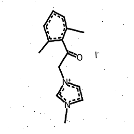 Cc1cccc(C)c1C(=O)C[n+]1ccn(C)c1.[I-]